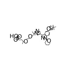 CC(CCS(=O)(=O)O)OCCOCC(C)n1cc(-c2nn(C3CCCCO3)c3ccc(O[Si](C)(C)C(C)(C)C)cc23)cn1